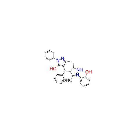 Cc1nn(-c2ccccc2)c(O)c1C(c1ccccc1)C1C(C)NN(c2ccccc2O)C1C=O